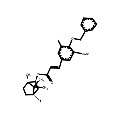 COc1cc(/C=C/C(=O)O[C@H]2C[C@H]3CC[C@]2(C)C3(C)C)cc(F)c1OCc1ccccc1